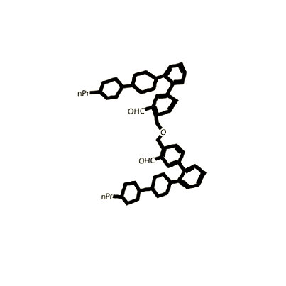 CCCC1CCC(C2CCC(c3ccccc3-c3ccc(COCc4ccc(-c5ccccc5C5CCC(C6CCC(CCC)CC6)CC5)cc4C=O)c(C=O)c3)CC2)CC1